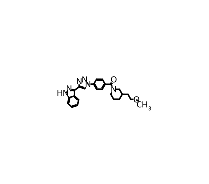 COCCC1CCCN(C(=O)c2ccc(-n3cc(-c4n[nH]c5ccccc45)nn3)cc2)C1